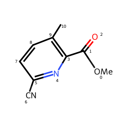 COC(=O)c1nc(C#N)ccc1C